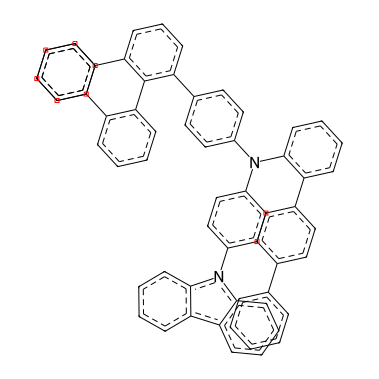 c1ccc(-c2ccc(-c3ccccc3N(c3ccc(-c4cccc(-c5ccccc5)c4-c4ccccc4-c4ccccc4)cc3)c3ccc(-n4c5ccccc5c5ccccc54)cc3)cc2)cc1